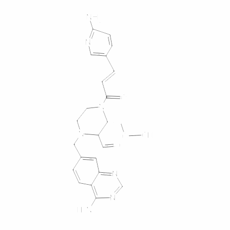 COC[C@@H]1C(C=O)N(Cc2ccc3c(N)ncnc3c2)CCN1C(=O)C=Cc1ccc(N)nc1